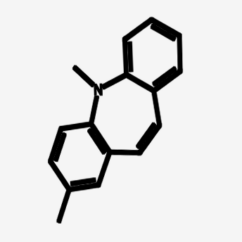 Cc1ccc2c(c1)C=Cc1ccccc1N2C